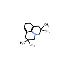 CC1(C)Cc2cccc3c2N(C1)CC(C)(C)C3